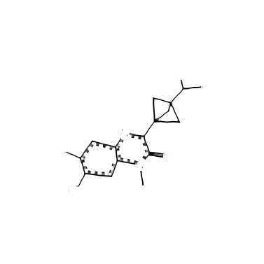 Cn1c(=O)c(C23CC(C(F)F)(C2)C3)nc2cc(Cl)c(Cl)cc21